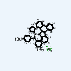 CC(C)(C)c1ccc([C](c2ccc(C(C)(C)C)cc2)=[Zr+2]([C]2=CC=CC2)[CH]2c3ccccc3-c3c2c2ccccc2c2ccccc32)cc1.[Cl-].[Cl-]